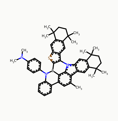 Cc1cc2c3c4c1c1cc5c(cc1n4-c1c(sc4cc6c(cc14)C(C)(C)CCC6(C)C)B3N(c1ccc(N(C)C)cc1)c1ccccc1-2)C(C)(C)CCC5(C)C